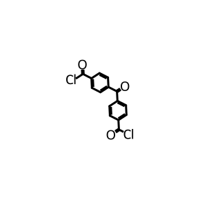 O=C(Cl)c1ccc(C(=O)c2ccc(C(=O)Cl)cc2)cc1